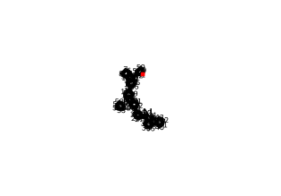 c1ccc(-n2c3ccccc3c3cc(-c4ccc5c(c4)c4ccc(-c6cccc(-c7ncc8c9c(cccc79)-c7ccccc7-8)c6)cc4n5-c4ccccc4)ccc32)cc1